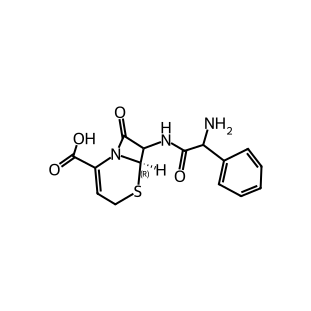 NC(C(=O)NC1C(=O)N2C(C(=O)O)=CCS[C@H]12)c1ccccc1